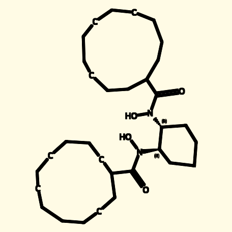 O=C(C1CCCCCCCCCCC1)N(O)[C@@H]1CCCC[C@H]1N(O)C(=O)C1CCCCCCCCCCC1